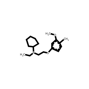 CCN(CCSc1ccc(C)c(OC)c1)C1CCCCC1